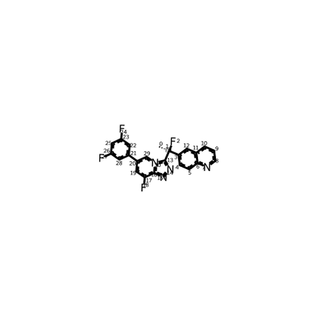 C[C@](F)(c1ccc2ncccc2c1)c1nnc2c(F)cc(-c3cc(F)cc(F)c3)cn12